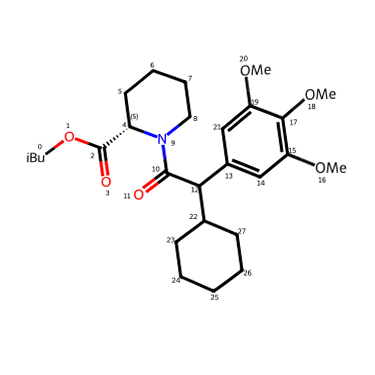 CCC(C)OC(=O)[C@@H]1CCCCN1C(=O)C(c1cc(OC)c(OC)c(OC)c1)C1CCCCC1